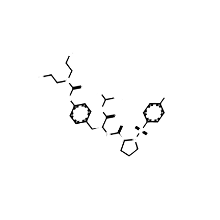 Cc1ccc(S(=O)(=O)N2CCC[C@H]2C(=O)N[C@@H](Cc2ccc(OC(=O)N(CCO)CCO)cc2)C(=O)OC(C)C)cc1